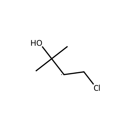 CC(C)(O)[CH]CCl